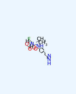 CC(C)C[C@H](NC(=O)c1ccc(/C=C/c2c[nH]cn2)cc1)C(=O)N1C[C@H](F)[C@H]2OCC(=O)[C@H]21